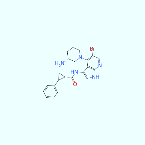 N[C@@H]1CCCN(c2c(Br)cnc3[nH]cc(NC(=O)[C@H]4CC4c4ccccc4)c23)C1